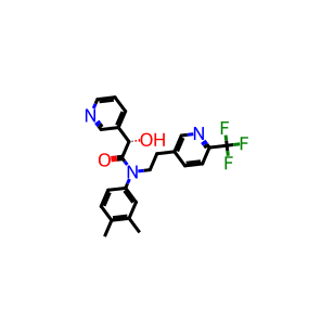 Cc1ccc(N(CCc2ccc(C(F)(F)F)nc2)C(=O)[C@@H](O)c2cccnc2)cc1C